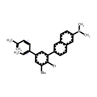 C=C(C)/C=C\C(=C/C)c1cc(-c2ccc3cc(N(C)C)ccc3c2)c(CC)c(C(C)(C)C)c1